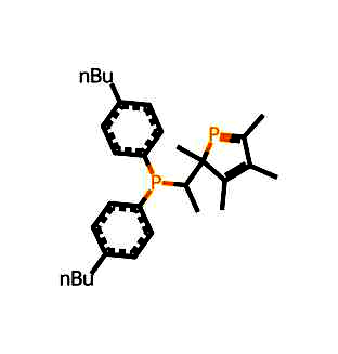 CCCCc1ccc(P(c2ccc(CCCC)cc2)C(C)C2(C)P=C(C)C(C)=C2C)cc1